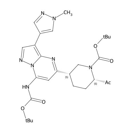 CC(=O)[C@@H]1CC[C@H](c2cc(NC(=O)OC(C)(C)C)n3ncc(-c4cnn(C)c4)c3n2)CN1C(=O)OC(C)(C)C